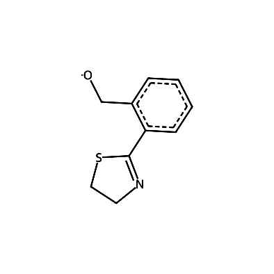 [O]Cc1ccccc1C1=NCCS1